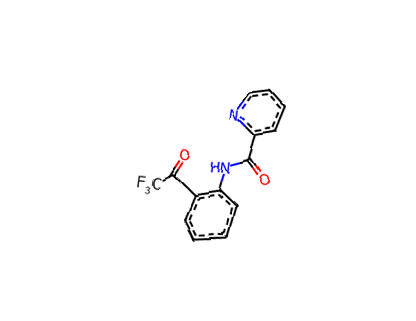 O=C(Nc1ccccc1C(=O)C(F)(F)F)c1ccccn1